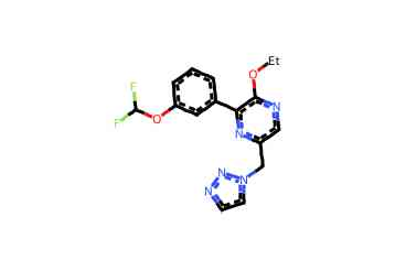 CCOc1ncc(Cn2c[c]nn2)nc1-c1cccc(OC(F)F)c1